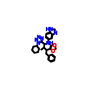 CC(C(Cc1ccccc1)C1=COCO1)C(Nc1ccc2[nH]cnc2c1)c1nnnn1C1CCCCC1